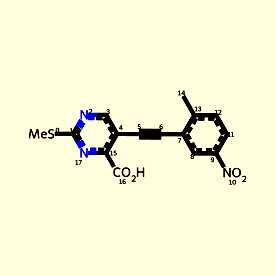 CSc1ncc(C#Cc2cc([N+](=O)[O-])ccc2C)c(C(=O)O)n1